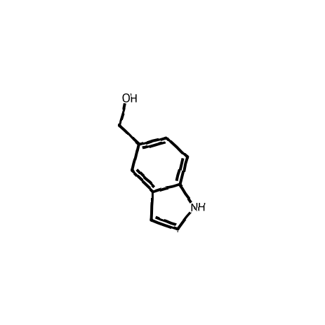 OCc1ccc2[nH][c]cc2c1